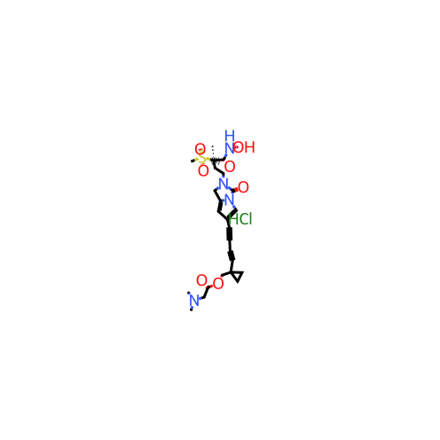 CN(C)CC(=O)OCC1(C#CC#Cc2cc3n(c2)C(=O)N(CC[C@](C)(C(=O)NO)S(C)(=O)=O)C3)CC1.Cl